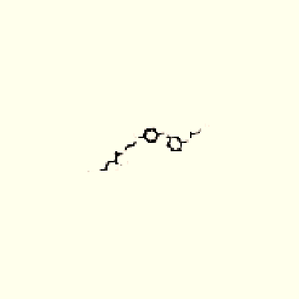 CCCCCCCCCCCCC(C(=O)OCCN(CC)c1ccc(/N=C2\C=CC(=O)C(NC(=O)COC)=C2)cc1)P(=O)(O)O